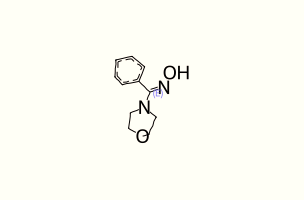 O/N=C(\c1ccccc1)N1CCOCC1